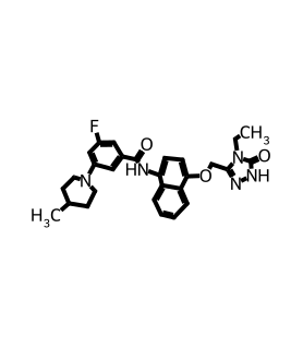 CCn1c(COc2ccc(NC(=O)c3cc(F)cc(N4CCC(C)CC4)c3)c3ccccc23)n[nH]c1=O